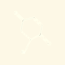 O=C1C=CC(=O)C(Br)C1